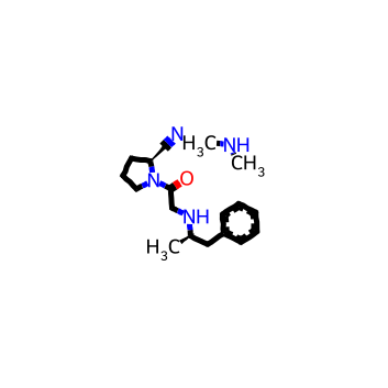 CNC.C[C@H](Cc1ccccc1)NCC(=O)N1CCC[C@H]1C#N